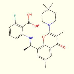 Cc1cc([C@@H](C)Nc2cccc(F)c2B(O)O)c2oc(N3CCC(C)(C)CC3)c(C)c(=O)c2c1